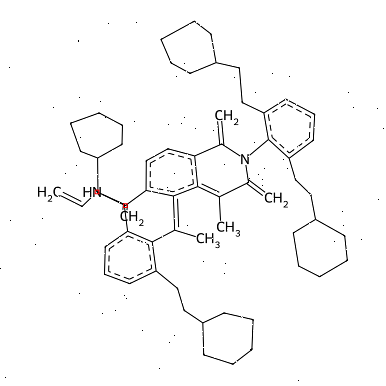 C=CNC(=C)c1ccc2c(/c1=C(\C)c1c(CCC3CCCCC3)cccc1CCC1CCCCC1)=C(C)C(=C)N(c1c(CCC3CCCCC3)cccc1CCC1CCCCC1)C2=C